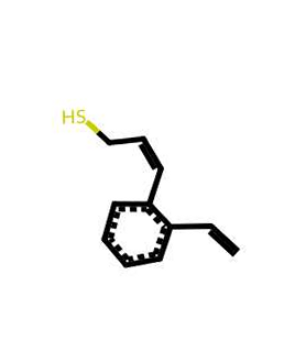 C=Cc1ccccc1/C=C\CS